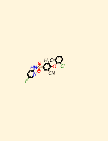 Cc1cccc(Cl)c1Oc1ccc(S(=O)(=O)Nc2ccc(F)cn2)cc1C#N